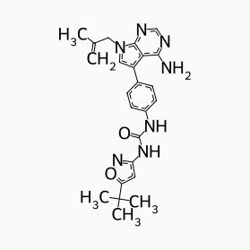 C=C(C)Cn1cc(-c2ccc(NC(=O)Nc3cc(C(C)(C)C)on3)cc2)c2c(N)ncnc21